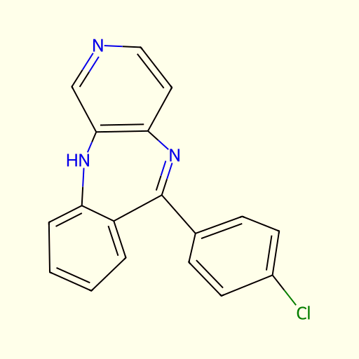 Clc1ccc(C2=Nc3ccncc3Nc3ccccc32)cc1